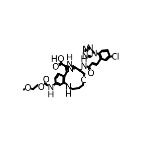 COCCOC(=O)Nc1ccc2c(c1)NCCCCC[C@H](NC(=O)C=Cc1cc(Cl)ccc1-n1cnnn1)c1nc-2c(C(=O)O)[nH]1